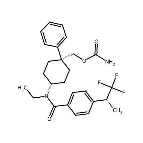 CCN(C(=O)c1ccc([C@@H](C)C(F)(F)F)cc1)[C@H]1CC[C@](COC(N)=O)(c2ccccc2)CC1